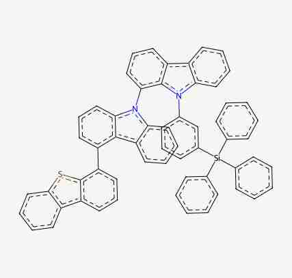 c1ccc([Si](c2ccccc2)(c2ccccc2)c2cccc(-n3c4ccccc4c4cccc(-n5c6ccccc6c6c(-c7cccc8c7sc7ccccc78)cccc65)c43)c2)cc1